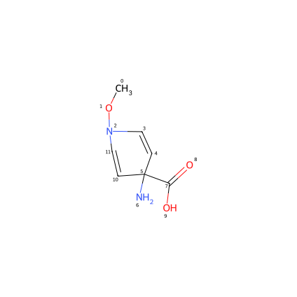 CON1C=CC(N)(C(=O)O)C=C1